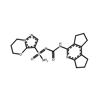 NS(=O)(=NC(=O)Nc1nc2c(c3c1CCC3)CCC2)c1cnn2c1OCCC2